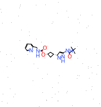 CC(C)(C)C(=O)Nc1cc([C@H]2C[C@@H](OC(=O)NCc3ccccn3)C2)n[nH]1